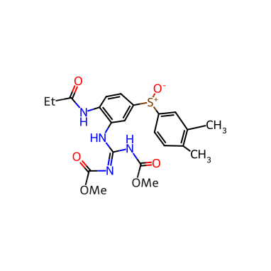 CCC(=O)Nc1ccc([S+]([O-])c2ccc(C)c(C)c2)cc1NC(=NC(=O)OC)NC(=O)OC